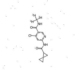 [2H]C([2H])([2H])NC(=O)c1cnc(NC(=O)C2CC23CC3)cc1Cl